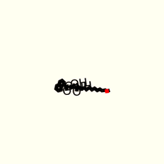 CCCCCCCCCCCCNC(=O)C(O)COC(=O)c1cccc2ccccc12